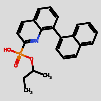 CCC(C)OP(=O)(O)c1ccc2cccc(-c3cccc4ccccc34)c2n1